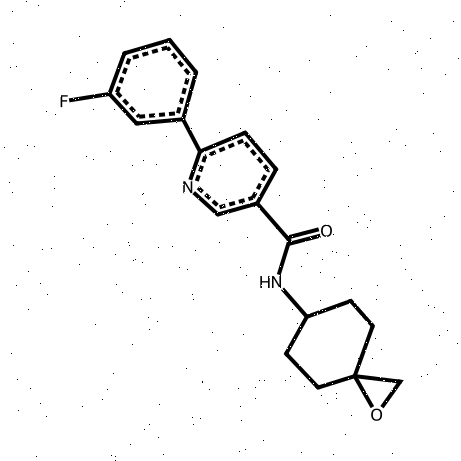 O=C(NC1CCC2(CC1)CO2)c1ccc(-c2cccc(F)c2)nc1